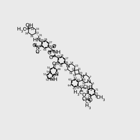 COc1cc(CN2CCN(C3CC4(CCN(c5ccc(C(=O)NS(=O)(=O)c6ccc(NC[C@H]7CC[C@](C)(O)CC7)c([N+](=O)[O-])c6)c(Oc6cnc7[nH]ccc7c6)c5)CC4)C3)C(c3ccccc3C(C)C)C2)cc(C)c1OC